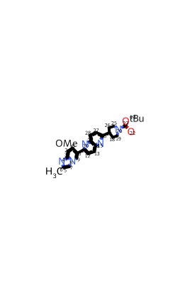 COc1cc2nc(C)cn2cc1-c1ccc2nc(C3CCN(C(=O)OC(C)(C)C)CC3)ccc2n1